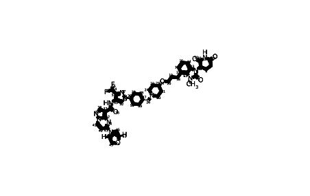 Cn1c(=O)n(C2CCC(=O)NC2=O)c2cccc(CCCOC3CCN(C[C@H]4CC[C@H](n5cc(NC(=O)c6cnn7ccc(N8C[C@H]9C[C@@H]8CO9)nc67)c(C(F)F)n5)CC4)CC3)c21